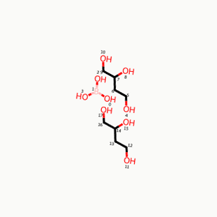 OB(O)O.OCCC(O)CO.OCCC(O)CO